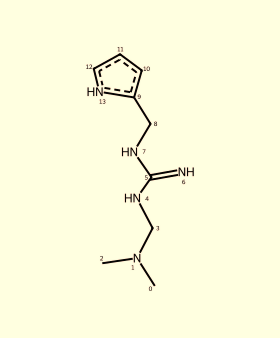 CN(C)CNC(=N)NCc1ccc[nH]1